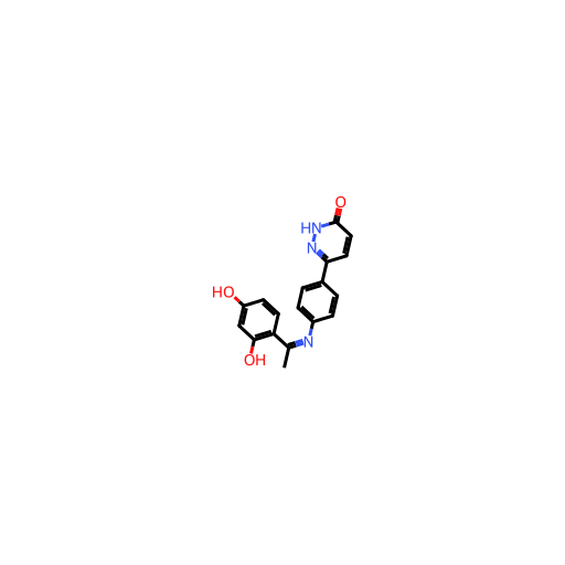 CC(=Nc1ccc(-c2ccc(=O)[nH]n2)cc1)c1ccc(O)cc1O